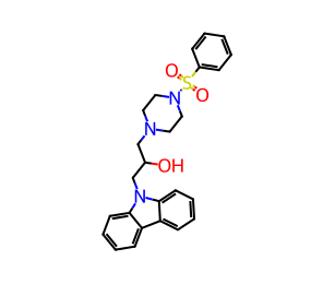 O=S(=O)(c1ccccc1)N1CCN(CC(O)Cn2c3ccccc3c3ccccc32)CC1